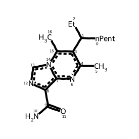 CCCCCC(CC)c1c(C)nc2c(C(N)=O)ncn2c1C